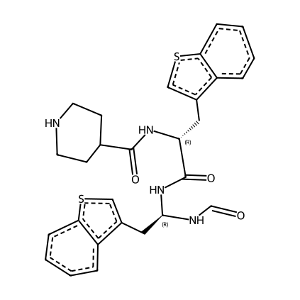 O=CN[C@@H](Cc1csc2ccccc12)NC(=O)[C@@H](Cc1csc2ccccc12)NC(=O)C1CCNCC1